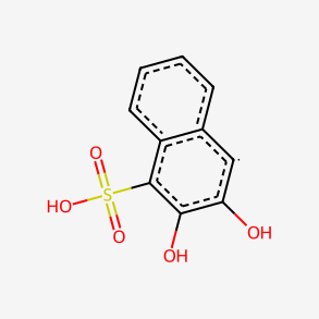 O=S(=O)(O)c1c(O)c(O)[c]c2ccccc12